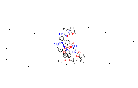 COc1ccc(CN(Cc2ccc(OC)cc2)S(=O)(=O)c2c(S(=O)(=O)NCCNC(=O)OC(C)(C)C)ccc(-c3cccc4[nH]c(CN(C(=O)O)C(C)(C)C)nc34)c2C2=Nc3cc(ccc3OC)CNN=N2)cc1